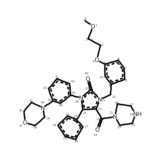 COCCOc1cccc(Cn2c(C(=O)N3CCNCC3)c(-c3ccccc3)n(-c3cccc(N4CCOCC4)c3)c2=O)c1